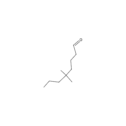 CCCC(C)(C)CCCC=O